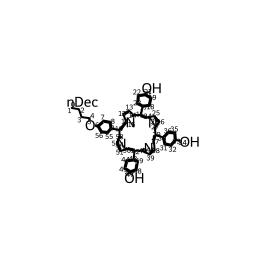 CCCCCCCCCCCCCCOc1ccc(C2=C3C=CC(=N3)C(c3ccc(O)cc3)=C3C=CC(=N3)C(c3ccc(O)cc3)=C3C=CC(=N3)C(c3ccc(O)cc3)=C3C=CC2=N3)cc1